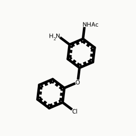 CC(=O)Nc1ccc(Oc2ccccc2Cl)cc1N